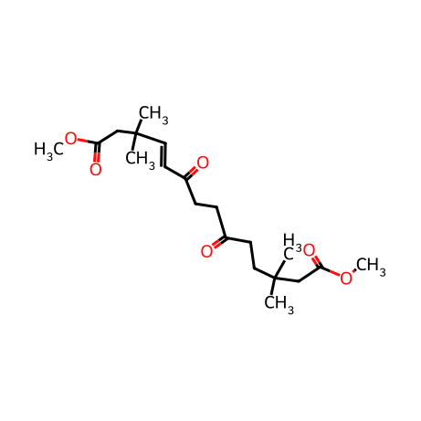 COC(=O)CC(C)(C)C=CC(=O)CCC(=O)CCC(C)(C)CC(=O)OC